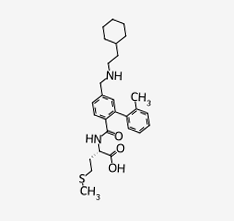 CSCC[C@H](NC(=O)c1ccc(CNCCC2CCCCC2)cc1-c1ccccc1C)C(=O)O